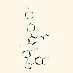 C=CC(=O)Nc1cc(Nc2cc(N3OCCC3c3ccc(Cl)c(F)c3)ncn2)c(OC)cc1N1CCC(N2CCN(CC)CC2)CC1